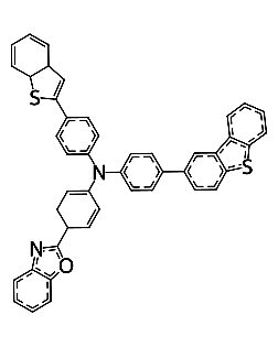 C1=CC2C=C(c3ccc(N(C4=CCC(c5nc6ccccc6o5)C=C4)c4ccc(-c5ccc6sc7ccccc7c6c5)cc4)cc3)SC2C=C1